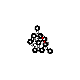 N#Cc1cccc(C(F)(F)F)c1-c1cc(-n2c3ccccc3c3ccc4c(c5ccccc5n4-c4ccccc4)c32)c(C#N)c(-n2c3ccccc3c3ccc4c(c5ccccc5n4-c4ccccc4)c32)c1